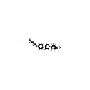 N#Cc1ccc(C2CCC([C@H]3CC[C@H](/C=C/CCCF)CC3)CC2)cc1